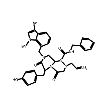 C=CCN1CC(=O)N2C(Cc3ccc(O)cc3)C(=O)N(Cc3cccc4c(C(C)=O)cn(CCC)c34)CC2N1C(=O)NCc1ccccc1